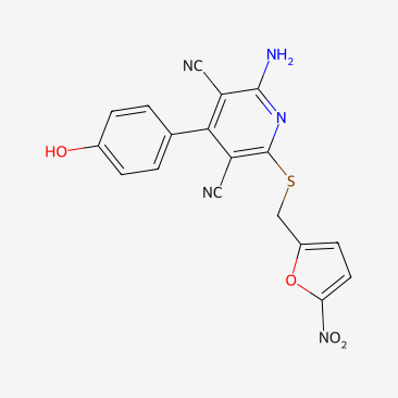 N#Cc1c(N)nc(SCc2ccc([N+](=O)[O-])o2)c(C#N)c1-c1ccc(O)cc1